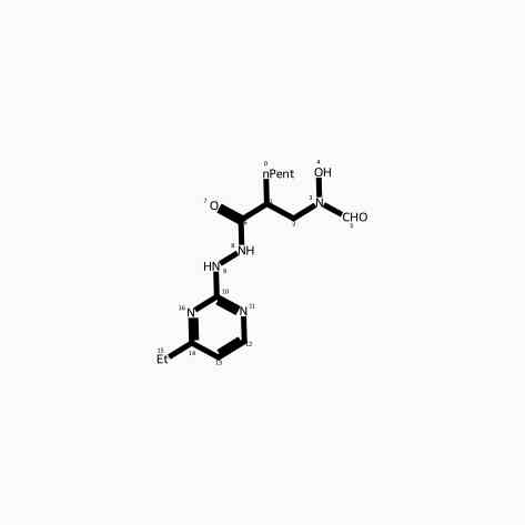 CCCCCC(CN(O)C=O)C(=O)NNc1nccc(CC)n1